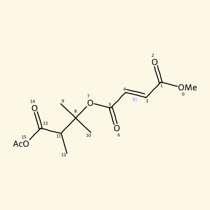 COC(=O)/C=C/C(=O)OC(C)(C)C(C)C(=O)OC(C)=O